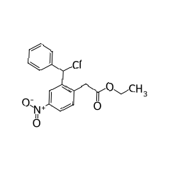 CCOC(=O)Cc1ccc([N+](=O)[O-])cc1C(Cl)c1ccccc1